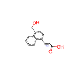 O=C(O)/C=C/c1ccc(CO)c2ccccc12